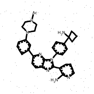 CC(=O)N1CCN(c2cccc(-c3ccc4nc(-c5cccnc5N)n(-c5ccc(C6(N)CCC6)cc5)c4n3)c2)CC1